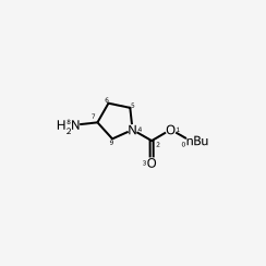 CCCCOC(=O)N1CCC(N)C1